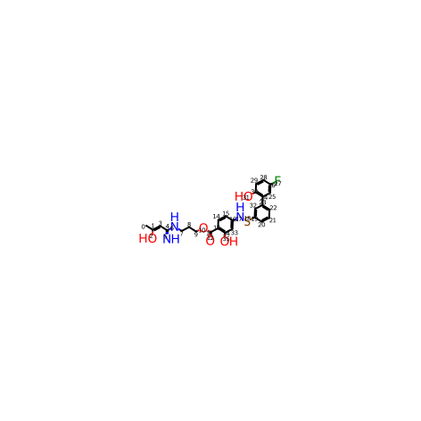 C/C(O)=C/C(=N)NCCCOC(=O)c1ccc(NSc2cccc(-c3cc(F)ccc3O)c2)cc1O